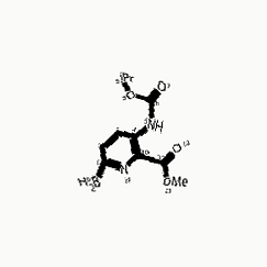 Bc1ccc(NC(=O)OC(C)C)c(C(=O)OC)n1